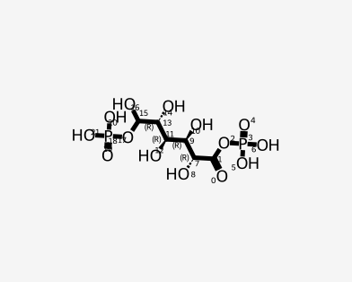 O=C(OP(=O)(O)O)[C@H](O)[C@H](O)[C@@H](O)[C@@H](O)C(O)OP(=O)(O)O